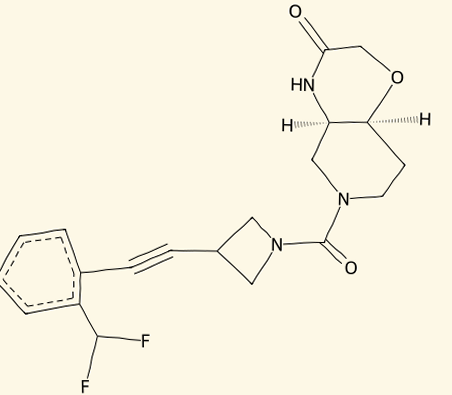 O=C1CO[C@H]2CCN(C(=O)N3CC(C#Cc4ccccc4C(F)F)C3)C[C@H]2N1